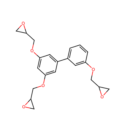 c1cc(OCC2CO2)cc(-c2cc(OCC3CO3)cc(OCC3CO3)c2)c1